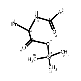 CC(=O)C(=O)NC(C(=O)O[Si](C)(C)C)C(C)C